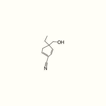 CCC1(CO)C=CC(C#N)=CC1